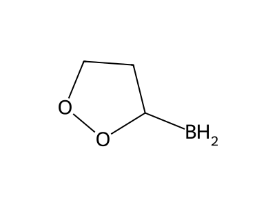 BC1CCOO1